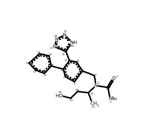 CCCCC(=O)N(Cc1ccc(-c2ccccc2)c(-c2nnn[nH]2)c1)C(C)CCO